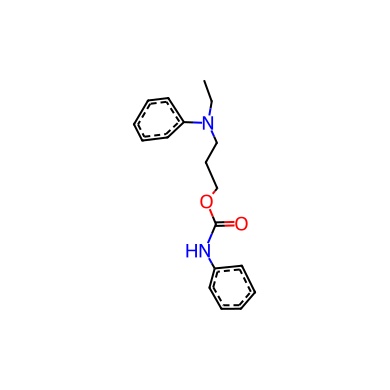 CCN(CCCOC(=O)Nc1ccccc1)c1ccccc1